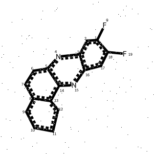 Fc1cc2nc3ccc4ccccc4c3nc2cc1F